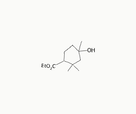 CCOC(=O)C1CCC(C)(O)CC1(C)C